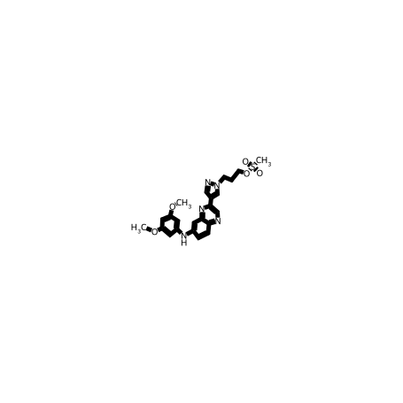 COc1cc(Nc2ccc3ncc(-c4cnn(CCCOS(C)(=O)=O)c4)nc3c2)cc(OC)c1